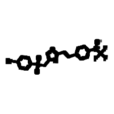 O=S(=O)(Cc1coc(C=Cc2ccc([S+]([O-])C(F)(F)F)cc2)n1)c1ccc(Br)cc1